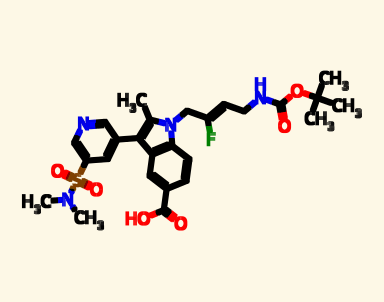 Cc1c(-c2cncc(S(=O)(=O)N(C)C)c2)c2cc(C(=O)O)ccc2n1C/C(F)=C/CNC(=O)OC(C)(C)C